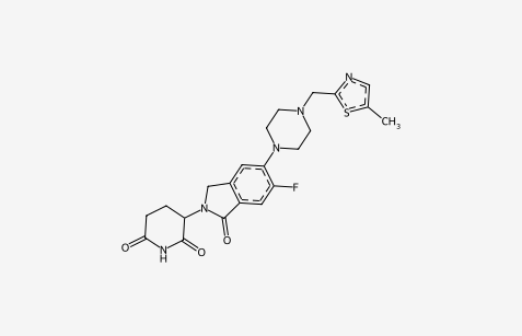 Cc1cnc(CN2CCN(c3cc4c(cc3F)C(=O)N(C3CCC(=O)NC3=O)C4)CC2)s1